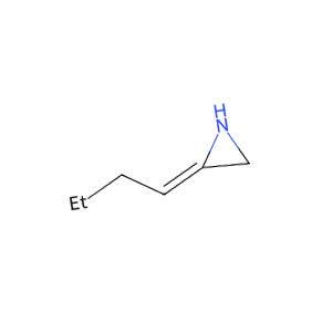 CCC/C=C1/CN1